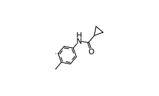 Cc1[c]cc(NC(=O)C2CC2)cc1